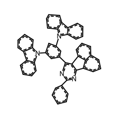 c1ccc(-c2nc(-c3cc(-n4c5ccccc5c5ccccc54)cc(-n4c5ccccc5c5ccccc54)c3)c3c(n2)-c2cccc4cccc-3c24)cc1